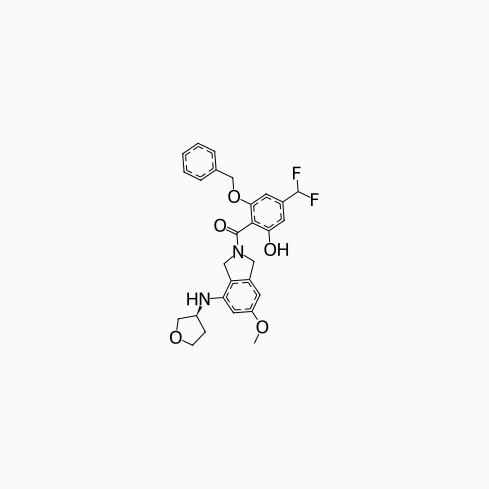 COc1cc2c(c(N[C@H]3CCOC3)c1)CN(C(=O)c1c(O)cc(C(F)F)cc1OCc1ccccc1)C2